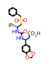 CC(C)[C@@H](CS(=O)(=O)Cc1ccccc1)NC(=O)NC(CC(=O)O)c1ccc2c(c1)OCO2